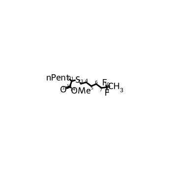 CCCCCC(SCCCCCC(C)(F)F)C(=O)OC